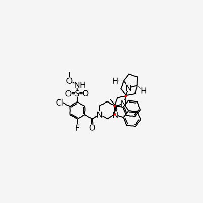 CONS(=O)(=O)c1cc(C(=O)N2CCC(CCN3[C@@H]4CC[C@H]3C[C@@H](n3c(C)nc5ccccc53)C4)(c3ccccc3)CC2)c(F)cc1Cl